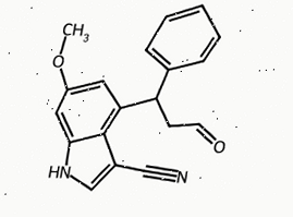 COc1cc(C(CC=O)c2ccccc2)c2c(C#N)c[nH]c2c1